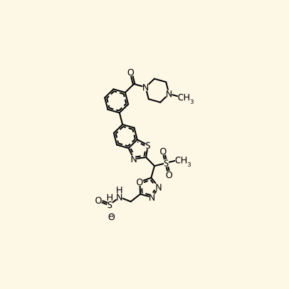 CN1CCN(C(=O)c2cccc(-c3ccc4nc(C(c5nnc(CN[SH](=O)=O)o5)S(C)(=O)=O)sc4c3)c2)CC1